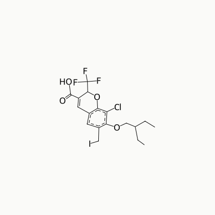 CCC(CC)COc1c(CI)cc2c(c1Cl)OC(C(F)(F)F)C(C(=O)O)=C2